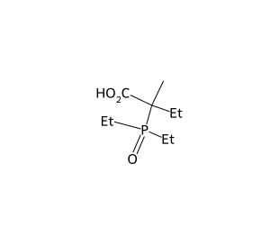 CCC(C)(C(=O)O)P(=O)(CC)CC